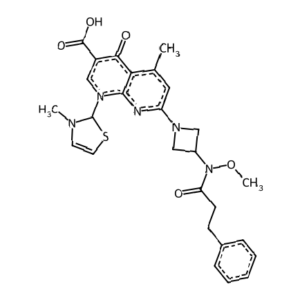 CON(C(=O)CCc1ccccc1)C1CN(c2cc(C)c3c(=O)c(C(=O)O)cn(C4SC=CN4C)c3n2)C1